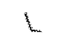 CCCC/C=C/C=C\CCCCCCCCCCCl